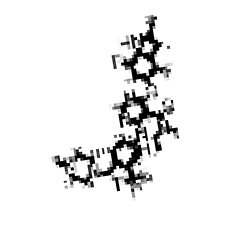 CCN(C)C(=O)c1c(Nc2ccc(CN3CCN(C)CC3)c(C(F)(F)F)c2)ncnc1Oc1cc(F)c2[nH]c(C)cc2c1F